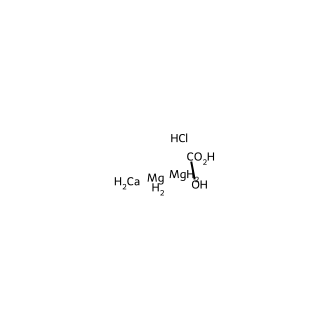 Cl.O=C(O)O.[CaH2].[MgH2].[MgH2]